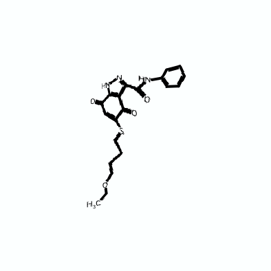 CCOCCCCSC1=CC(=O)c2[nH]nc(C(=O)Nc3ccccc3)c2C1=O